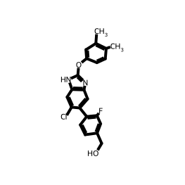 Cc1ccc(Oc2nc3cc(-c4ccc(CO)cc4F)c(Cl)cc3[nH]2)cc1C